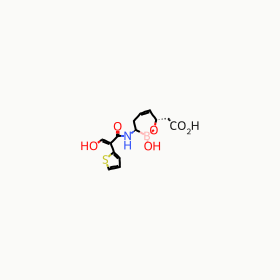 O=C(O)C[C@H]1C=CC[C@H](NC(=O)/C(=C/O)c2cccs2)B(O)O1